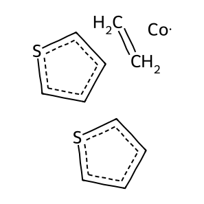 C=C.[Co].c1ccsc1.c1ccsc1